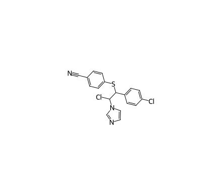 N#Cc1ccc(SC(c2ccc(Cl)cc2)C(Cl)n2ccnc2)cc1